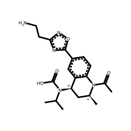 CC(=O)N1c2ccc(-c3nc(CCN)no3)cc2[C@H](N(C(=O)O)C(C)C)C[C@@H]1C